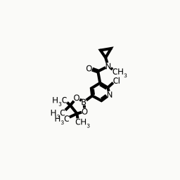 CN(C(=O)c1cc(B2OC(C)(C)C(C)(C)O2)cnc1Cl)C1CC1